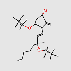 C=C1C(=O)CC(O[Si](C)(C)C(C)(C)C)C1/C=C/[C@](C)(CCCCC)O[Si](C)(C)C(C)(C)C